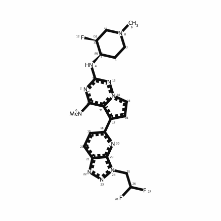 CNc1nc(N[C@@H]2CCN(C)C[C@@H]2F)nn2ccc(-c3ccc4nnn(CC(F)F)c4n3)c12